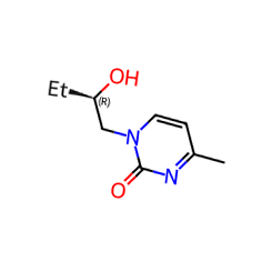 CC[C@@H](O)Cn1ccc(C)nc1=O